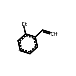 [CH]=Cc1cc[c]cc1CC